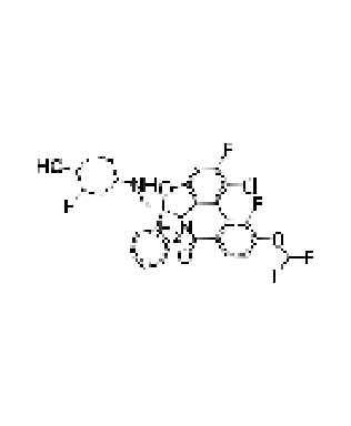 NC(=O)c1ccc(OC(F)F)c(F)c1-c1c(Cl)c(F)cc2c1C[C@@](CN[C@@H]1CC[C@H](O)[C@@H](F)C1)(c1ccccc1)O2